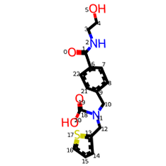 O=C(NCCO)c1ccc(CN(Cc2cccs2)C(=O)O)cc1